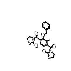 Cc1c(C(=O)N2CCSC2=O)ccc(C(=O)N2CCSC2=O)c1OCc1ccccc1